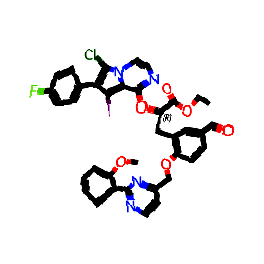 CCOC(=O)[C@@H](Cc1cc(C=O)ccc1OCc1ccnc(-c2ccccc2OC)n1)Oc1nccn2c(Cl)c(-c3ccc(F)cc3)c(I)c12